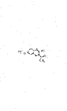 COc1ccc2nc(Cl)c(C(C)C)cc2c1